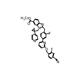 COC(=O)c1ccc2nc(Cc3ccc(-c4cccc(OCc5ccc(C#N)cc5F)n4)cc3F)n(CC3(c4ccncc4)CC3)c2c1